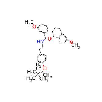 COc1ccc2c(c1)CCC(c1ccc(OC)cc1C(=O)NCCc1ccc(O[Si](C)(C)C(C)(C)C)cc1)C2